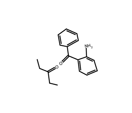 CCC(=O)CC.Nc1ccccc1C(=O)c1ccccc1